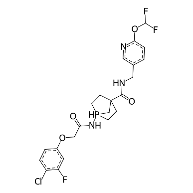 O=C(COc1ccc(Cl)c(F)c1)N[PH]12CCC(C(=O)NCc3ccc(OC(F)F)nc3)(CC1)C2